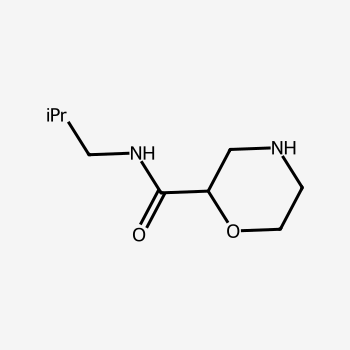 CC(C)CNC(=O)C1CNCCO1